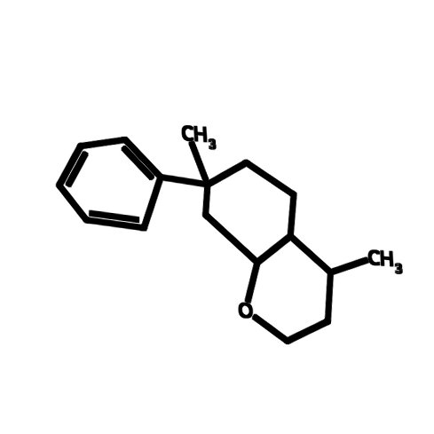 CC1CCOC2CC(C)(c3ccccc3)CCC12